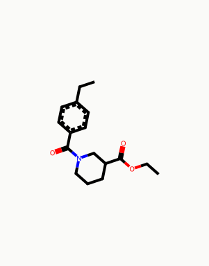 CCOC(=O)C1CCCN(C(=O)c2ccc(CC)cc2)C1